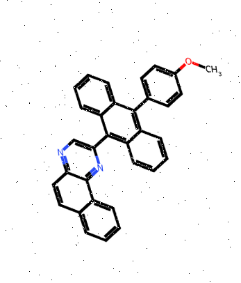 COc1ccc(-c2c3ccccc3c(-c3cnc4ccc5ccccc5c4n3)c3ccccc23)cc1